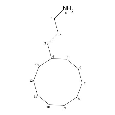 NCCCC1CCCCCCCCC1